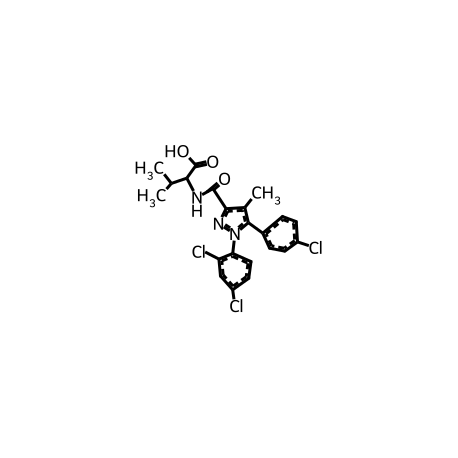 Cc1c(C(=O)NC(C(=O)O)C(C)C)nn(-c2ccc(Cl)cc2Cl)c1-c1ccc(Cl)cc1